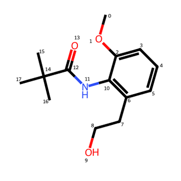 COc1cccc(CCO)c1NC(=O)C(C)(C)C